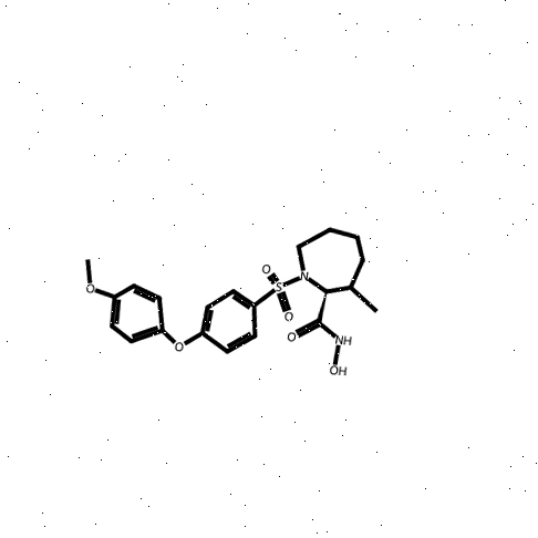 COc1ccc(Oc2ccc(S(=O)(=O)N3CCCCC(C)[C@H]3C(=O)NO)cc2)cc1